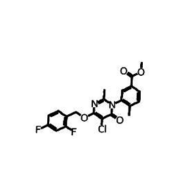 COC(=O)c1ccc(C)c(-n2c(C)nc(OCc3ccc(F)cc3F)c(Cl)c2=O)c1